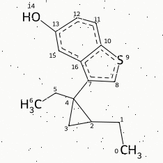 CCC1CC1(CC)c1csc2ccc(O)cc12